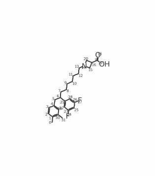 Cc1ccc(CC(CCCCCCCN2CC(C(=O)O)C2)c2cc(F)cc(F)c2)cc1C